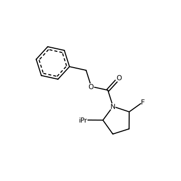 CC(C)C1CCC(F)N1C(=O)OCc1ccccc1